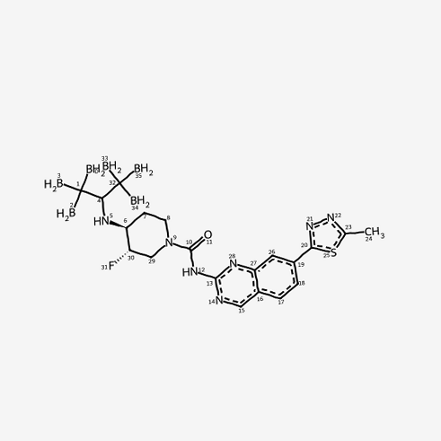 BC(B)(B)C(N[C@H]1CCN(C(=O)Nc2ncc3ccc(-c4nnc(C)s4)cc3n2)C[C@@H]1F)C(B)(B)B